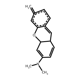 C=c1ccc2c(c1)OC1C=C(N(C)C)C=CC1C=2